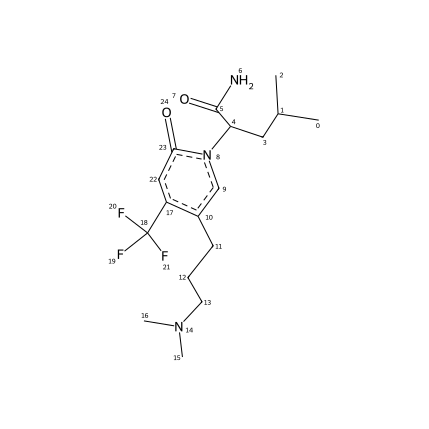 CC(C)CC(C(N)=O)n1cc(CCCN(C)C)c(C(F)(F)F)cc1=O